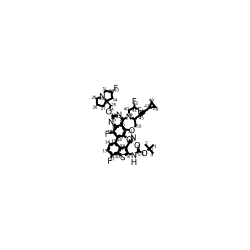 CC(C)(C)OC(=O)Nc1sc2c(F)ccc(-c3c(Cl)c4c5c(nc(OC[C@@]67CCCN6C[C@H](F)C7)nc5c3F)N(CC(F)F)C(C#CC3CC3)CO4)c2c1C#N